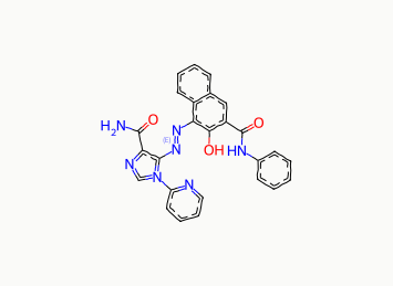 NC(=O)c1ncn(-c2ccccn2)c1/N=N/c1c(O)c(C(=O)Nc2ccccc2)cc2ccccc12